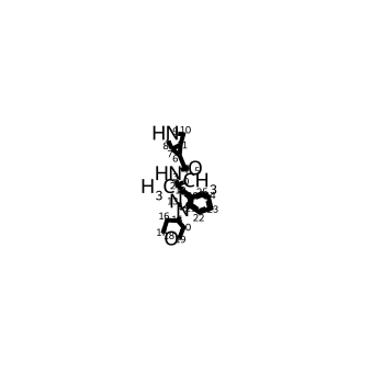 CC(C)(NC(=O)C1C2CNCC21)c1nn(C2CCOCC2)c2ccccc12